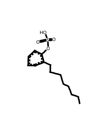 CCCCCCCCc1ccccc1OS(=O)(=O)O